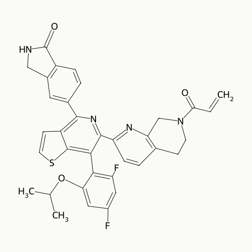 C=CC(=O)N1CCc2ccc(-c3nc(-c4ccc5c(c4)CNC5=O)c4ccsc4c3-c3c(F)cc(F)cc3OC(C)C)nc2C1